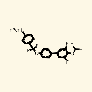 CCCCCc1ccc(C(F)(F)Oc2ccc(-c3cc(F)c(OC(F)F)c(F)c3)cc2)cc1